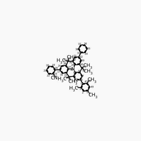 Cc1cc(C)c(-c2cc3c4c(n2)C(C)(C)c2cc(-c5ccccc5C#N)cc5c2N4c2c(cc(-c4ccccc4)cc2C3(C)C)C5(C)C)c(C)c1